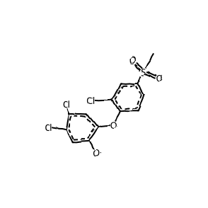 CS(=O)(=O)c1ccc(Oc2cc(Cl)c(Cl)cc2[O])c(Cl)c1